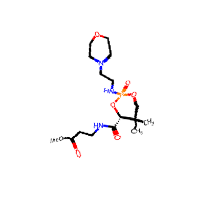 COC(=O)CCNC(=O)[C@@H]1OP(=O)(NCCN2CCOCC2)OCC1(C)C